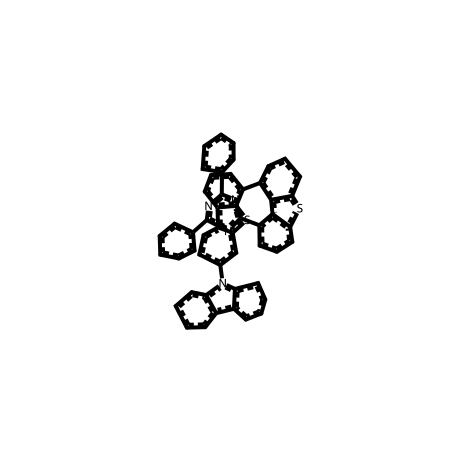 c1ccc(-c2nc(-c3ccccc3)nc(-c3cccc4sc5cccc(-c6cccc7c6sc6cc(-n8c9ccccc9c9ccccc98)ccc67)c5c34)n2)cc1